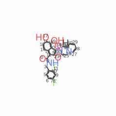 O=C(NCc1ccc(F)cc1F)C1=C2C=CC(O)C(O)=C2C2=C1OC1CN3C=CC=C[C@H]3C[N+]21[O-]